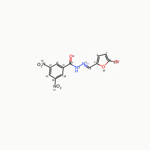 O=C(N/N=C/c1ccc(Br)o1)c1cc([N+](=O)[O-])cc([N+](=O)[O-])c1